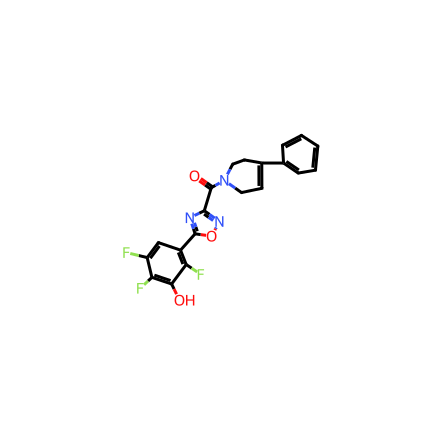 O=C(c1noc(-c2cc(F)c(F)c(O)c2F)n1)N1CC=C(c2ccccc2)CC1